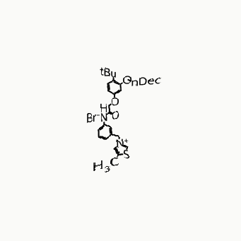 CCCCCCCCCCOc1cc(OCC(=O)Nc2cccc(C[n+]3csc(C)c3)c2)ccc1C(C)(C)C.[Br-]